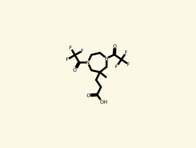 CC1(CCC(=O)O)CN(C(=O)C(F)(F)F)CCN(C(=O)C(F)(F)F)C1